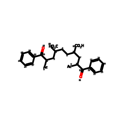 CC(=O)C(CC(CCC(CC(C(C)=O)C(=O)c1ccccc1)C(=O)O)C(=O)O)C(=O)c1ccccc1